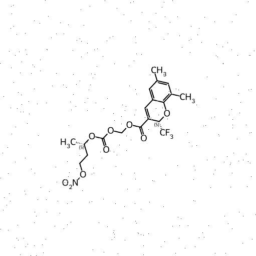 Cc1cc(C)c2c(c1)C=C(C(=O)OCOC(=O)O[C@@H](C)CCO[N+](=O)[O-])[C@@H](C(F)(F)F)O2